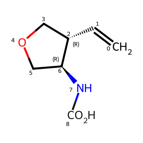 C=C[C@H]1COC[C@@H]1NC(=O)O